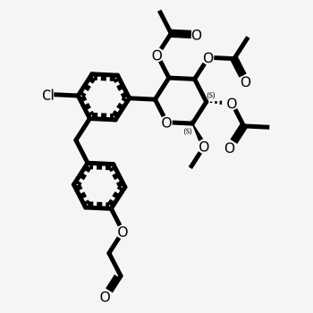 CO[C@H]1OC(c2ccc(Cl)c(Cc3ccc(OCC=O)cc3)c2)C(OC(C)=O)C(OC(C)=O)[C@@H]1OC(C)=O